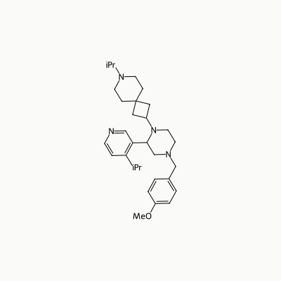 COc1ccc(CN2CCN(C3CC4(CCN(C(C)C)CC4)C3)C(c3cnccc3C(C)C)C2)cc1